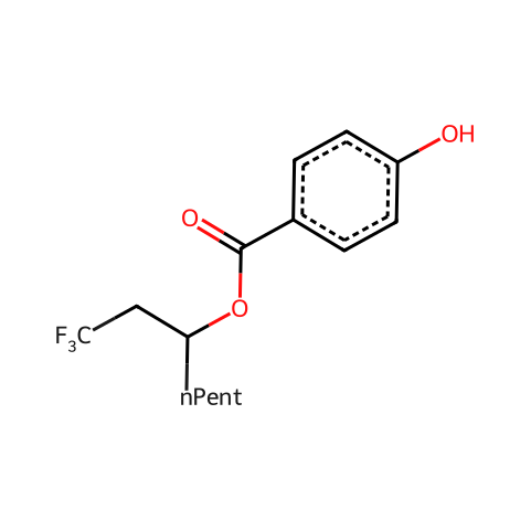 CCCCCC(CC(F)(F)F)OC(=O)c1ccc(O)cc1